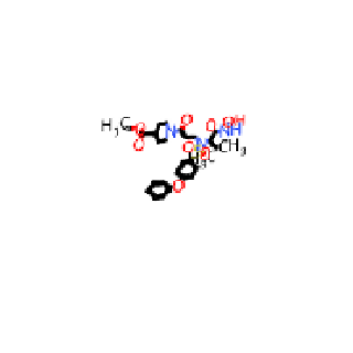 CCOC(=O)C1CCN(C(=O)CCN(C(C(=O)NO)C(C)C)S(=O)(=O)c2ccc(Oc3ccccc3)cc2)CC1